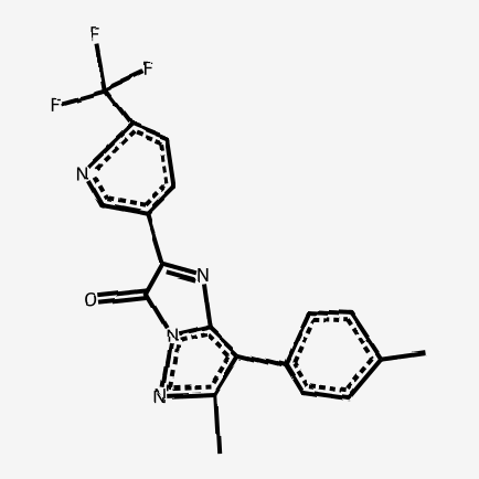 Cc1ccc(-c2c(C)nn3c2N=C(c2ccc(C(F)(F)F)nc2)C3=O)cc1